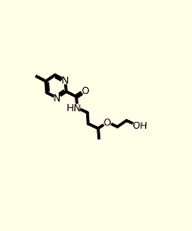 Cc1cnc(C(=O)NCCC(C)OCCO)nc1